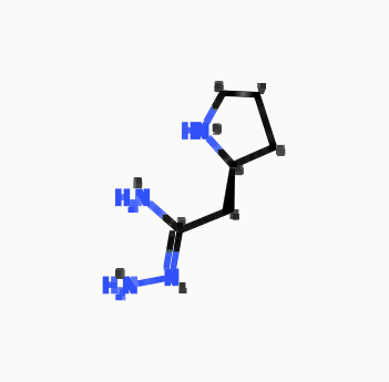 N/N=C(\N)C[C@@H]1CCCN1